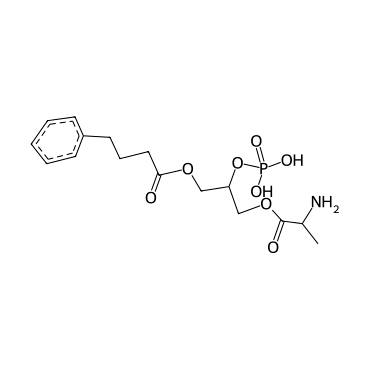 CC(N)C(=O)OCC(COC(=O)CCCc1ccccc1)OP(=O)(O)O